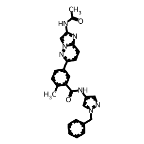 CC(=O)Nc1cn2nc(-c3ccc(C)c(C(=O)Nc4cnn(Cc5ccccc5)c4)c3)ccc2n1